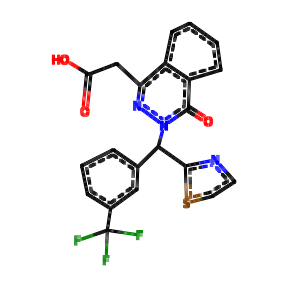 O=C(O)Cc1nn(C(c2cccc(C(F)(F)F)c2)c2nccs2)c(=O)c2ccccc12